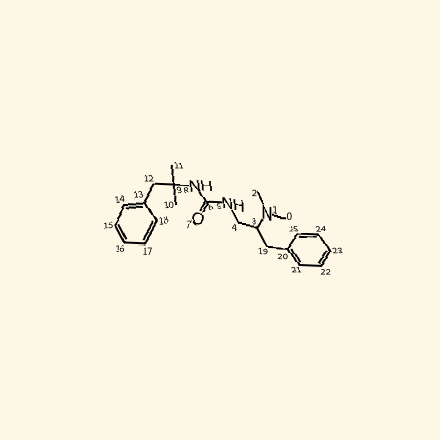 CN(C)C(CNC(=O)NC(C)(C)Cc1ccccc1)Cc1ccccc1